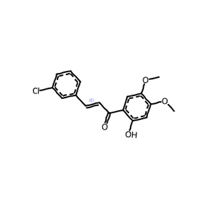 COc1cc(O)c(C(=O)/C=C/c2cccc(Cl)c2)cc1OC